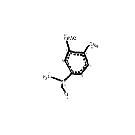 COc1ccc([S+]([O-])C(F)(F)F)cc1OC